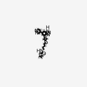 CC(C)(C)OC(=O)NCCCCOC1CN(c2cc(-c3ccnnc3)cc3[nH]nnc23)C1